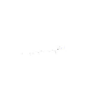 CCCCCCCCCCCCCCC(O)C(C)(C)N